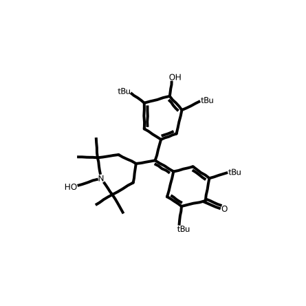 CC(C)(C)C1=CC(=C(c2cc(C(C)(C)C)c(O)c(C(C)(C)C)c2)C2CC(C)(C)N(O)C(C)(C)C2)C=C(C(C)(C)C)C1=O